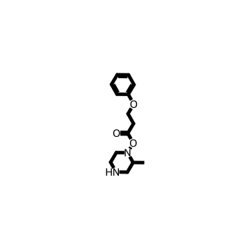 CC1CNCCN1OC(=O)CCOc1ccccc1